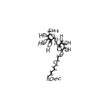 CCCCCCCCCCCCCCCCOCCO[C@H]1O[C@H](CO[C@H]2O[C@H](CO)[C@H](O)[C@H](O)[C@H]2O)[C@@H](O)[C@H](O)[C@H]1O